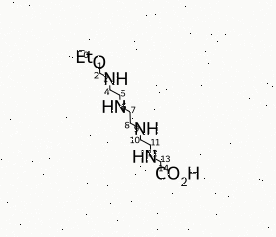 CCOCNCCNCCNCCNCC(=O)O